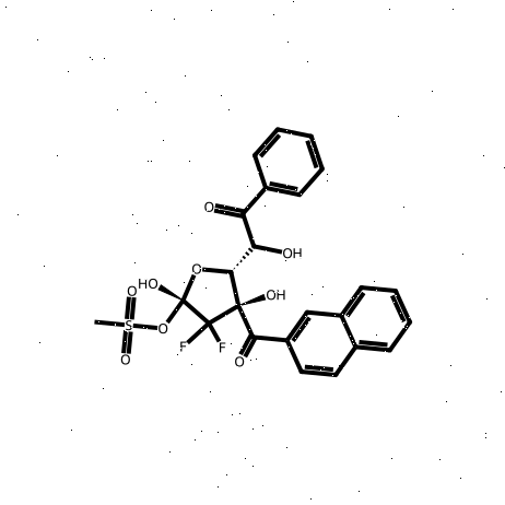 CS(=O)(=O)O[C@]1(O)O[C@H](C(O)C(=O)c2ccccc2)[C@](O)(C(=O)c2ccc3ccccc3c2)C1(F)F